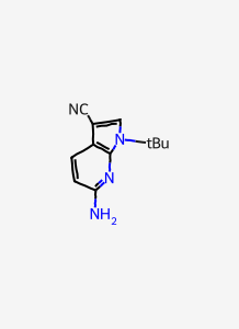 CC(C)(C)n1cc(C#N)c2ccc(N)nc21